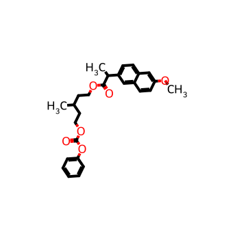 COc1ccc2cc(C(C)C(=O)OCCC(C)CCOC(=O)Oc3ccccc3)ccc2c1